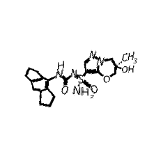 C[C@]1(O)COc2c([S@](N)(=O)=NC(=O)Nc3c4c(cc5c3CCC5)CCC4)cnn2C1